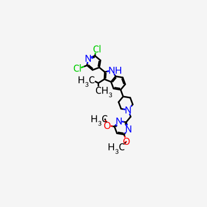 COc1cc(OC)nc(CN2CCC(c3ccc4[nH]c(-c5cc(Cl)nc(Cl)c5)c(C(C)C)c4c3)CC2)n1